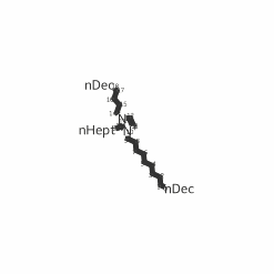 CCCCCCCCCCCCCCCCCCC[n+]1ccn(CCCCCCCCCCCCCC)c1CCCCCCC